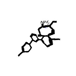 C=C1C/C(N)=C(/CC)C=C=C2C(C)=CCC=C(C3=CC(C4CCC(C)CC4)C=C=C3)C12